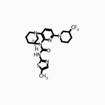 Cc1cnc(NC(=O)N2c3nc(N4CCCC(C(F)(F)F)C4)ccc3N3CCC[C@H]2C3)s1